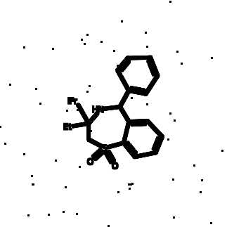 CCC1(C(C)C)CS(=O)(=O)c2ccccc2C(c2ccccc2)N1